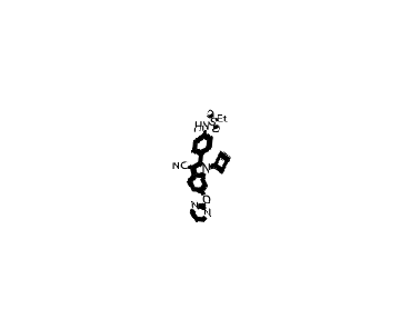 CCS(=O)(=O)Nc1ccc(-c2c(C#N)c3ccc(Oc4ncccn4)cc3n2C2CCC2)cc1